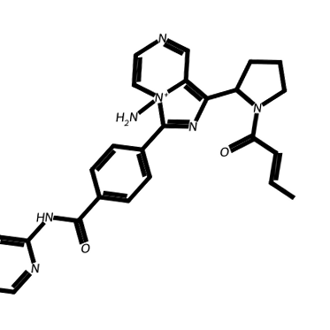 C/C=C/C(=O)N1CCCC1C1=C2C=NC=C[N+]2(N)C(c2ccc(C(=O)Nc3ccccn3)cc2)=N1